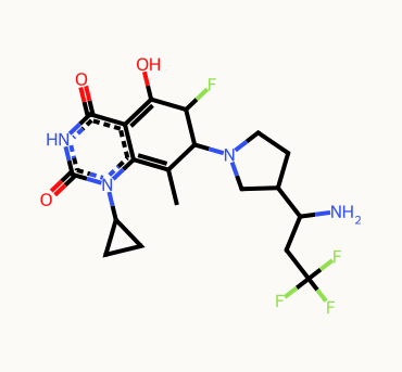 CC1=c2c(c(=O)[nH]c(=O)n2C2CC2)=C(O)C(F)C1N1CCC(C(N)CC(F)(F)F)C1